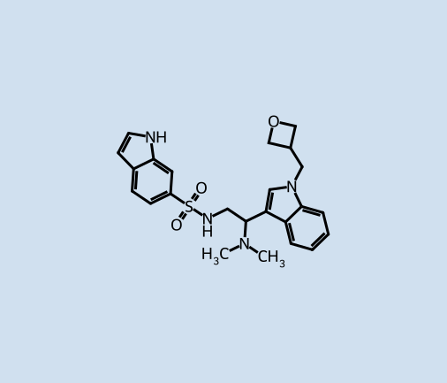 CN(C)C(CNS(=O)(=O)c1ccc2cc[nH]c2c1)c1cn(CC2COC2)c2ccccc12